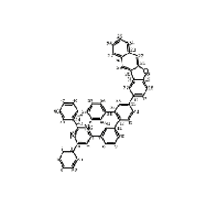 c1ccc(-c2cc(-c3cccc(-c4ccc(-c5ccc6oc7cc8ccccc8cc7c6c5)cc4-c4ccccc4)c3)nc(-c3ccccc3)n2)cc1